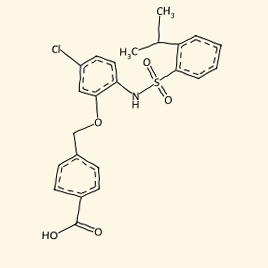 CC(C)c1ccccc1S(=O)(=O)Nc1ccc(Cl)cc1OCc1ccc(C(=O)O)cc1